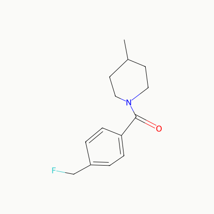 CC1CCN(C(=O)c2ccc(CF)cc2)CC1